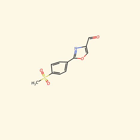 CS(=O)(=O)c1ccc(-c2nc(C=O)co2)cc1